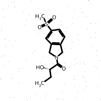 CC[C@H](O)C(=O)N1Cc2ccc(S(C)(=O)=O)cc2C1